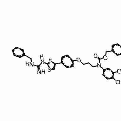 N=C(NCc1ccccc1)Nc1nc(-c2ccc(OCCCN(C(=O)OCc3ccccc3)c3ccc(Cl)c(Cl)c3)cc2)cs1